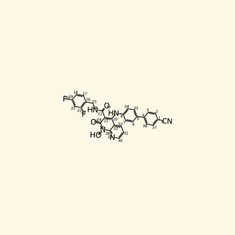 N#Cc1ccc(-c2ccc(Nc3c(C(=O)NCc4ccc(F)cc4F)c(=O)n(O)c4ncccc34)cc2)cc1